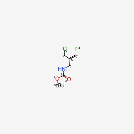 CC(C)(C)OC(=O)NCC(=CF)CCl